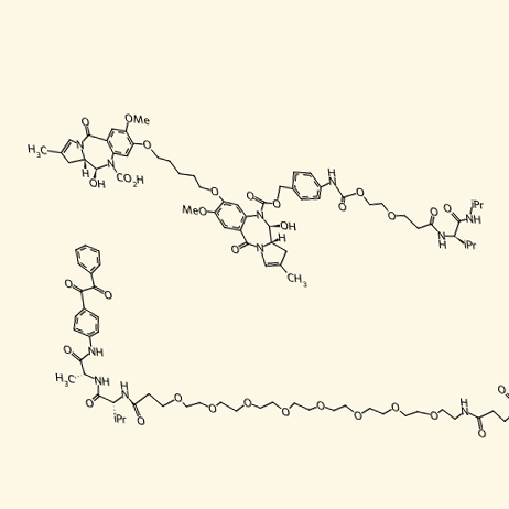 CC(C)[C@@H](NC(=O)CCOCCOCCOCCOCCOCCOCCOCCOCCNC(=O)CCN1C(=O)C=CC1=O)C(=O)N[C@H](C)C(=O)Nc1ccc(C(=O)C(=O)c2ccccc2)cc1.COc1cc2c(cc1OCCCCCOc1cc3c(cc1OC)C(=O)N1C=C(C)C[C@H]1[C@H](O)N3C(=O)OCc1ccc(NC(=O)OCCOCCC(=O)N[C@@H](C(=O)NC(C)C)C(C)C)cc1)N(C(=O)O)[C@@H](O)[C@@H]1CC(C)=CN1C2=O